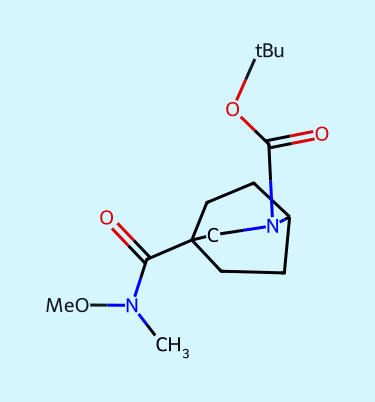 CON(C)C(=O)C12CCC(CC1)N(C(=O)OC(C)(C)C)C2